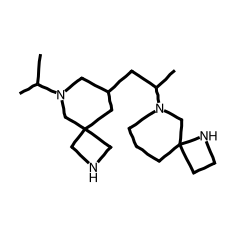 CC(C)N1CC(CC(C)N2CCCC3(CCN3)C2)CC2(CNC2)C1